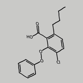 CCCCc1ccc(Cl)c(OOc2ccccc2)c1C(=O)O